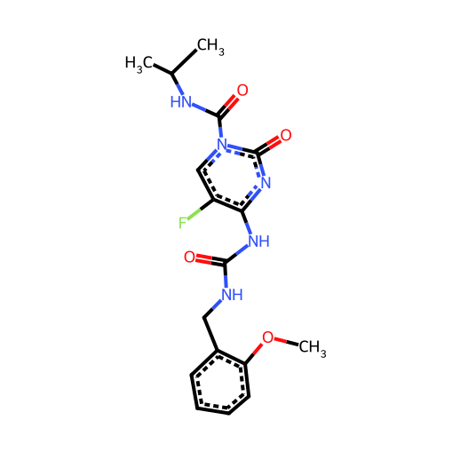 COc1ccccc1CNC(=O)Nc1nc(=O)n(C(=O)NC(C)C)cc1F